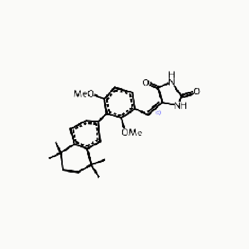 COc1ccc(/C=C2/NC(=O)NC2=O)c(OC)c1-c1ccc2c(c1)C(C)(C)CCC2(C)C